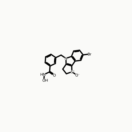 O=C(NO)c1cccc(Cn2c3c(c4cc(Br)ccc42)[S+]([O-])CC3)c1